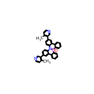 Cc1ccncc1-c1ccc2c(c1)-c1ccccc1P1(=O)c3ccccc3-c3cc(-c4cnccc4C)ccc3N21